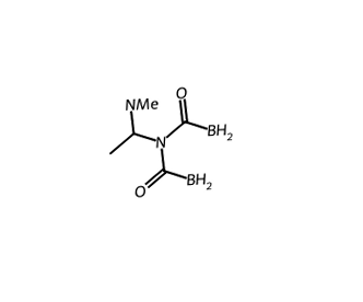 BC(=O)N(C(B)=O)C(C)NC